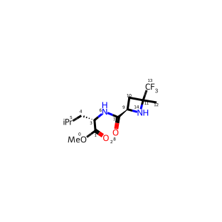 COC(=O)[C@H](CC(C)C)NC(=O)[C@H]1CC(C)(C(F)(F)F)N1